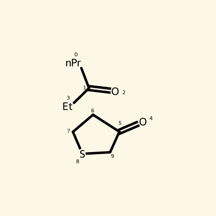 CCCC(=O)CC.O=C1CCSC1